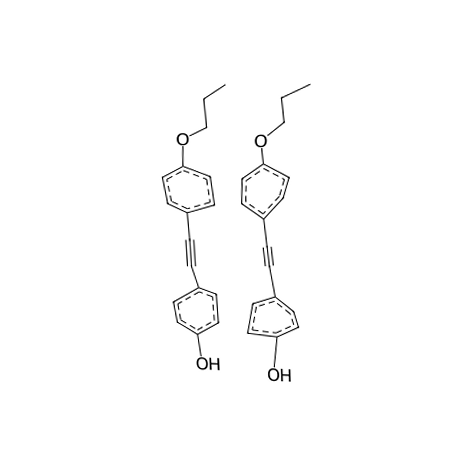 CCCOc1ccc(C#Cc2ccc(O)cc2)cc1.CCCOc1ccc(C#Cc2ccc(O)cc2)cc1